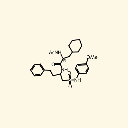 COc1ccc(NS(=O)(=O)CC(CCc2ccccc2)NC(=O)[C@H](CC2CCCCC2)NC(C)=O)cc1